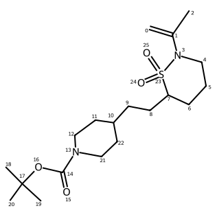 C=C(C)N1CCCC(CCC2CCN(C(=O)OC(C)(C)C)CC2)S1(=O)=O